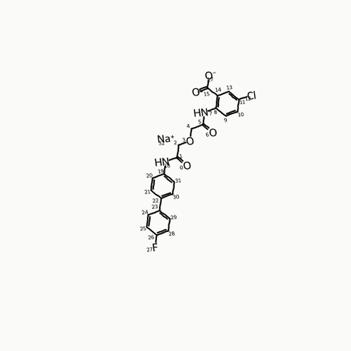 O=C(COCC(=O)Nc1ccc(Cl)cc1C(=O)[O-])Nc1ccc(-c2ccc(F)cc2)cc1.[Na+]